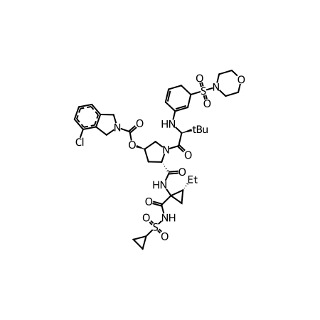 CC[C@@H]1CC1(NC(=O)[C@@H]1C[C@@H](OC(=O)N2Cc3cccc(Cl)c3C2)CN1C(=O)[C@@H](NC1=CC(S(=O)(=O)N2CCOCC2)CC=C1)C(C)(C)C)C(=O)NS(=O)(=O)C1CC1